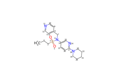 CCCS(=O)(=O)N(Cc1ccncc1)c1ccc(N2CCCCC2)nc1